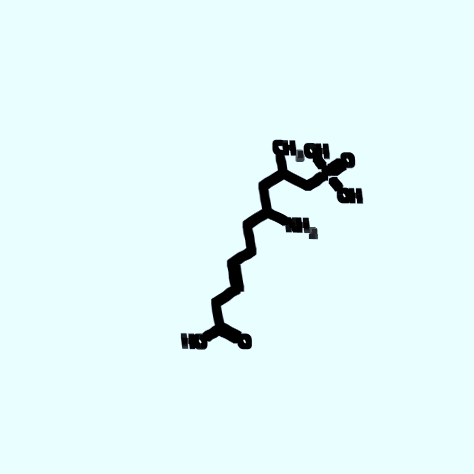 CC(CC(N)CCC=CCC(=O)O)CP(=O)(O)O